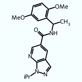 COc1ccc(OC)c(C(C)NC(=O)c2cnc3c(cnn3C(C)C)c2)c1